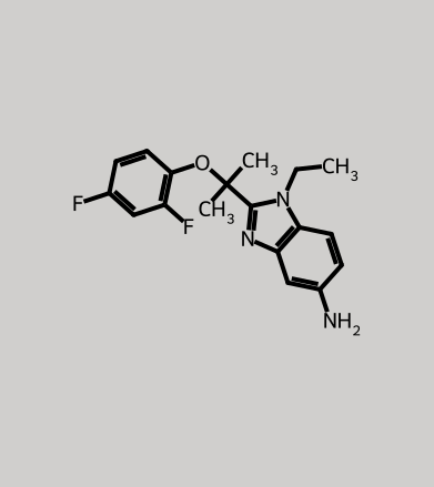 CCn1c(C(C)(C)Oc2ccc(F)cc2F)nc2cc(N)ccc21